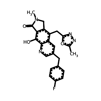 Cc1nnc(Cc2c3c(c(O)c4ncc(Cc5ccc(F)cc5)cc24)C(=O)N(C)C3)o1